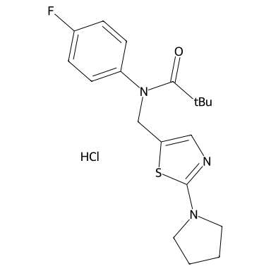 CC(C)(C)C(=O)N(Cc1cnc(N2CCCC2)s1)c1ccc(F)cc1.Cl